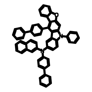 c1ccc(-c2ccc(-c3c4c(cc5c3c3cc(N(c6ccc(-c7ccccc7)cc6)c6ccc7ccccc7c6)ccc3n5-c3ccccc3)oc3ccccc34)cc2)cc1